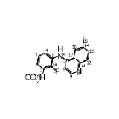 O=C(O)c1cccc(Nc2ccnc3ccc(F)cc23)c1F